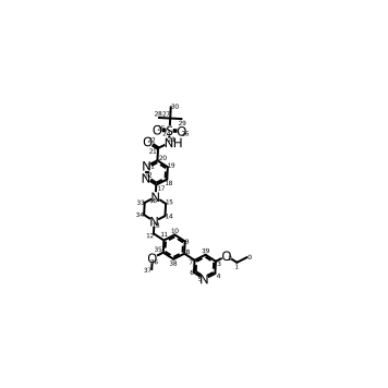 CCOc1cncc(-c2ccc(CN3CCN(c4ccc(C(=O)NS(=O)(=O)C(C)(C)C)nn4)CC3)c(OC)c2)c1